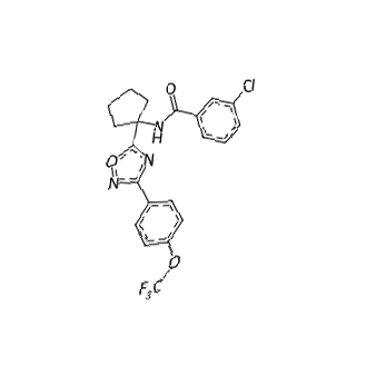 O=C(NC1(c2nc(-c3ccc(OC(F)(F)F)cc3)no2)CCCC1)c1cccc(Cl)c1